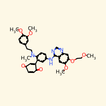 COCCOc1cc2ncnc(Nc3ccc(N(C)CCc4ccc(OC)c(OC)c4)c(C4=CC(=O)C=CC4=O)c3)c2cc1OC